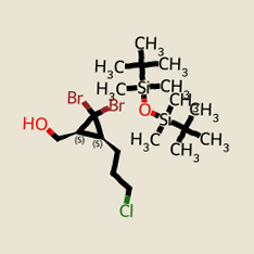 CC(C)(C)[Si](C)(C)O[Si](C)(C)C(C)(C)C.OC[C@@H]1[C@H](CCCCl)C1(Br)Br